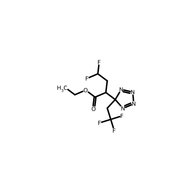 CCOC(=O)C(CC(F)F)C1(CC(F)(F)F)N=NN=N1